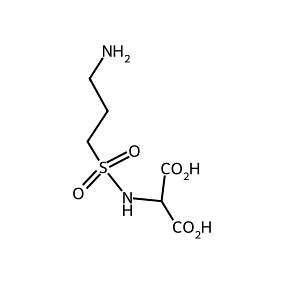 NCCCS(=O)(=O)NC(C(=O)O)C(=O)O